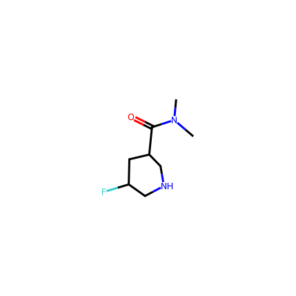 CN(C)C(=O)C1CNCC(F)C1